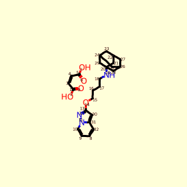 O=C(O)/C=C\C(=O)O.c1ccn2nc(OCCCCNC34CC5CC(CC(C5)C3)C4)cc2c1